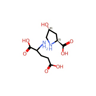 NC(CCC(=O)O)C(=O)O.O=C(O)[C@@H]1C[C@@H](O)CN1